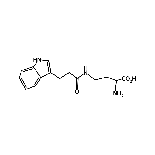 NC(CCNC(=O)CCc1c[nH]c2ccccc12)C(=O)O